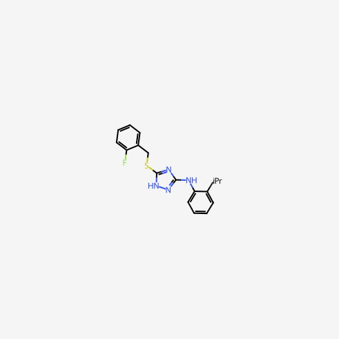 CC(C)c1ccccc1Nc1n[nH]c(SCc2ccccc2F)n1